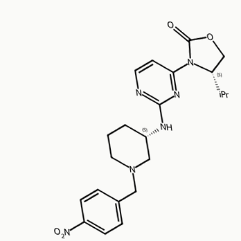 CC(C)[C@H]1COC(=O)N1c1ccnc(N[C@H]2CCCN(Cc3ccc([N+](=O)[O-])cc3)C2)n1